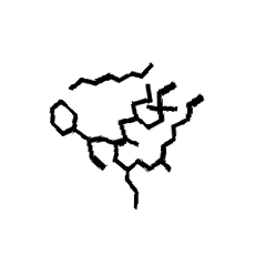 C=CCCCC=C(C)CCC(CCC)CC(CC(C=C)C1CCCCC1)=C(C)CC(CCC)CCC(C)(C)C=C.CCC=CCCCC